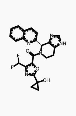 O=C(c1oc(C2(O)CC2)nc1C(F)F)N1CCc2[nH]cnc2[C@H]1c1ccc2ccccc2n1